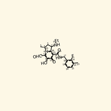 CCNC1C[C@H](C)n2c(C=O)c(O)c(=O)c(C(=O)NCc3cccc(C)c3F)c21